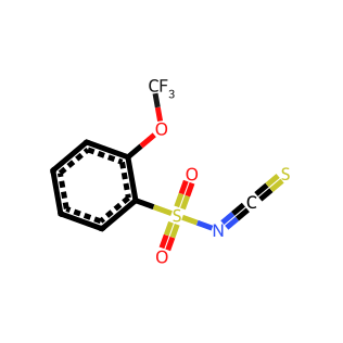 O=S(=O)(N=C=S)c1ccccc1OC(F)(F)F